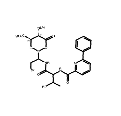 CN[C@@H]1C(=O)OB(C(CC(C)C)NC(=O)C(NC(=O)c2cccc(-c3ccccc3)n2)C(C)O)O[C@H]1C(=O)O